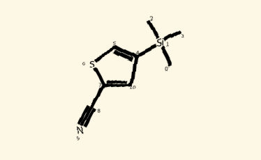 C[Si](C)(C)c1csc(C#N)c1